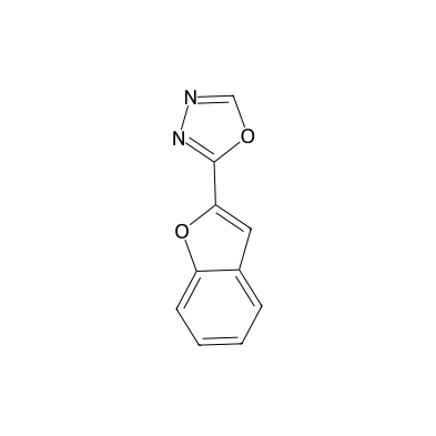 c1ccc2oc(-c3nnco3)cc2c1